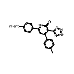 CCCCCc1ccc(-c2cc(-c3ccc(C)cc3)c(-c3nn[nH]n3)c(=O)[nH]2)cc1